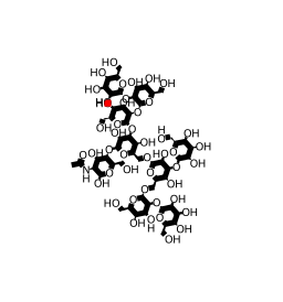 CC(=O)N[C@@H]1[C@@H](O)[C@H](O[C@@H]2O[C@H](CO[C@H]3O[C@H](CO[C@H]4O[C@H](CO)[C@@H](O)[C@H](O)[C@@H]4O[C@H]4O[C@H](CO)[C@@H](O)[C@H](O)[C@@H]4O)[C@@H](O)[C@H](O[C@H]4O[C@H](CO)[C@@H](O)[C@H](O)[C@@H]4O)[C@@H]3O)[C@@H](O)[C@H](O[C@H]3O[C@H](CO)[C@@H](O)[C@H](O)[C@@H]3O[C@H]3O[C@H](CO)[C@@H](O)[C@H](O)[C@@H]3O[C@H]3O[C@H](CO)[C@@H](O)[C@H](O)[C@@H]3O)[C@@H]2O)[C@@H](CO)O[C@H]1O